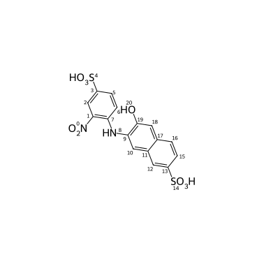 O=[N+]([O-])c1cc(S(=O)(=O)O)ccc1Nc1cc2cc(S(=O)(=O)O)ccc2cc1O